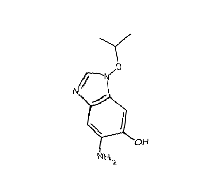 CC(C)On1cnc2cc(N)c(O)cc21